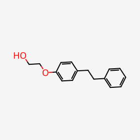 OCCOc1ccc(CCc2ccccc2)cc1